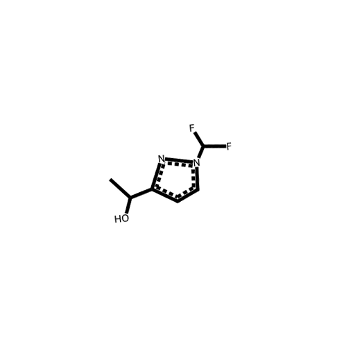 CC(O)c1ccn(C(F)F)n1